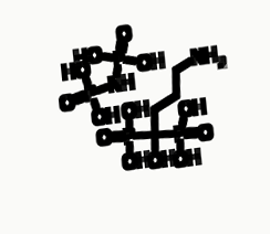 NCCCC(O)(P(=O)(O)O)P(=O)(O)O.O=P(O)(O)NP(=O)(O)O